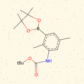 Cc1cc(NC(=O)OC(C)(C)C)c(C)c(B2OC(C)(C)C(C)(C)O2)c1